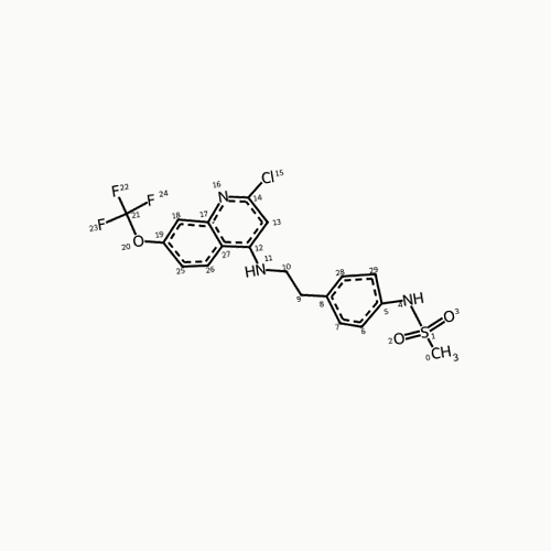 CS(=O)(=O)Nc1ccc(CCNc2cc(Cl)nc3cc(OC(F)(F)F)ccc23)cc1